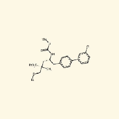 CCOC[C@](C)(C[C@@H](Cc1ccc(-c2cccc(Cl)c2)cc1)NC(=O)OC(C)(C)C)C(=O)OCC